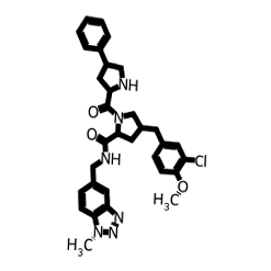 COc1ccc(CC2CC(C(=O)NCc3ccc4c(c3)nnn4C)N(C(=O)C3CC(c4ccccc4)CN3)C2)cc1Cl